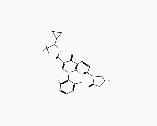 O=C(NC(C1CC1)C(F)(F)F)c1cn(-c2c(F)cccc2F)c2nc(N3C[C@@H](O)CC3=O)ccc2c1=O